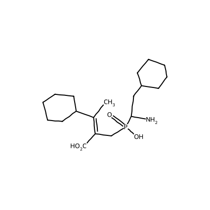 CC(=C(CP(=O)(O)C(N)CC1CCCCC1)C(=O)O)C1CCCCC1